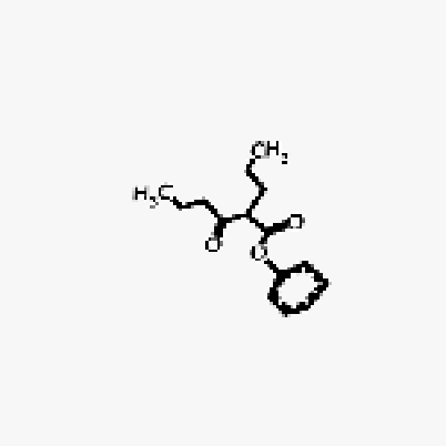 CCCC(=O)C(CCC)C(=O)Oc1ccccc1